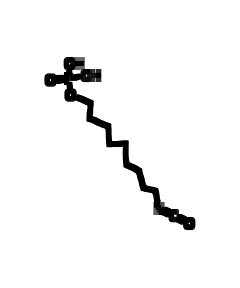 O=C=NCCCCCCCCCOP(=O)(O)O